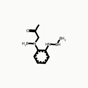 BBNc1ccccc1N(B)CC(C)=O